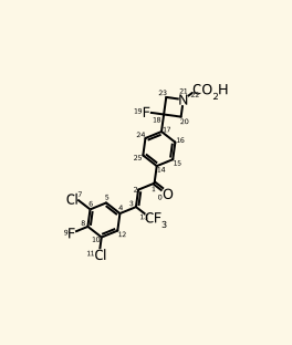 O=C(C=C(c1cc(Cl)c(F)c(Cl)c1)C(F)(F)F)c1ccc(C2(F)CN(C(=O)O)C2)cc1